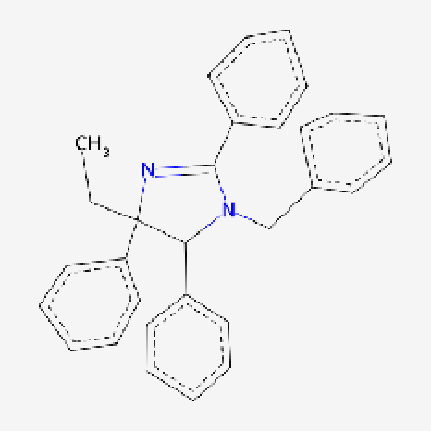 CCC1(c2ccccc2)N=C(c2ccccc2)N(Cc2ccccc2)C1c1ccccc1